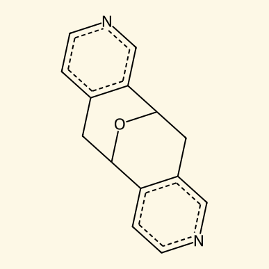 c1cc2c(cn1)CC1OC2Cc2ccncc21